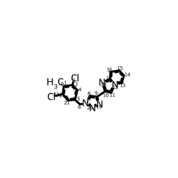 Cc1c(Cl)cc(Cn2cc(-c3cn4ccccc4n3)nn2)cc1Cl